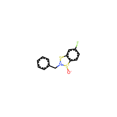 [O-][S+]1c2ccc(F)cc2SN1Cc1ccccc1